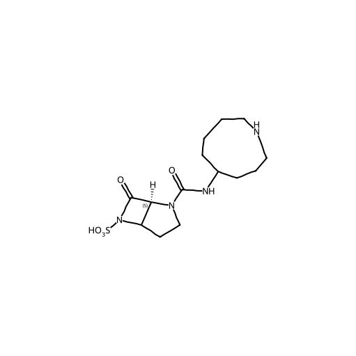 O=C(NC1CCCCNCCC1)N1CCC2[C@H]1C(=O)N2S(=O)(=O)O